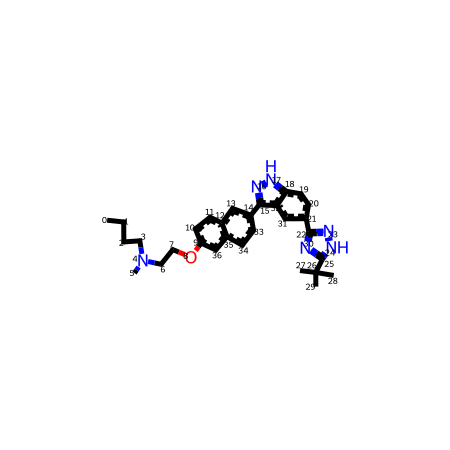 CCCCN(C)CCOc1ccc2cc(-c3n[nH]c4ccc(-c5n[nH]c(C(C)(C)C)n5)cc34)ccc2c1